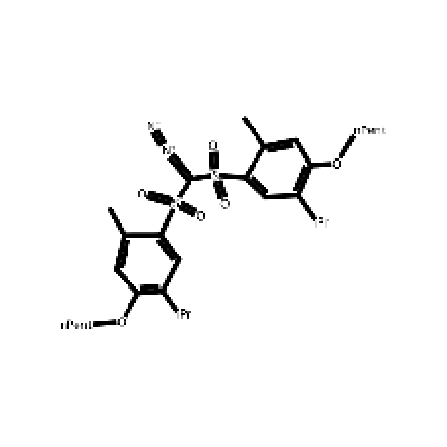 CCCCCOc1cc(C)c(S(=O)(=O)C(=[N+]=[N-])S(=O)(=O)c2cc(C(C)C)c(OCCCCC)cc2C)cc1C(C)C